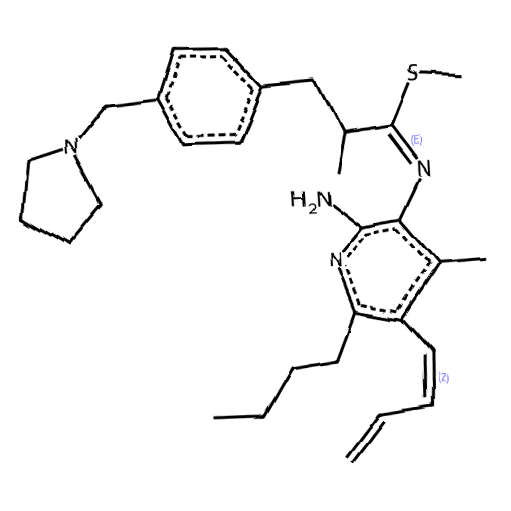 C=C/C=C\c1c(CCCC)nc(N)c(/N=C(/SC)C(C)Cc2ccc(CN3CCCC3)cc2)c1C